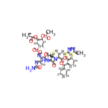 CC(=O)Oc1ccc(C(=O)O/N=C(\C(=O)N[C@@H]2C(=O)N3C(C(=O)OC(c4ccccc4)c4ccccc4)=C(CSc4nnc(C)s4)CS[C@@H]23)c2coc(N)n2)cc1OC(C)=O